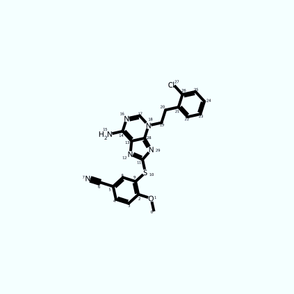 COc1ccc(C#N)cc1Sc1nc2c(N)ncn(CCc3ccccc3Cl)c-2n1